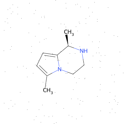 Cc1ccc2n1CCN[C@@H]2C